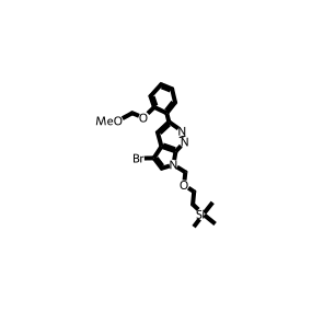 COCOc1ccccc1-c1cc2c(Br)cn(COCC[Si](C)(C)C)c2nn1